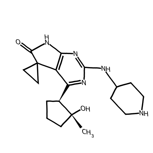 C[C@@]1(O)CCC[C@H]1c1nc(NC2CCNCC2)nc2c1C1(CC1)C(=O)N2